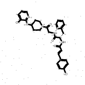 O=C(/C=C/c1ccc(Cl)cc1)N[C@@H](Cc1ccccn1)C(=O)NCC(=O)N1CCC(Oc2ncccc2Cl)CC1